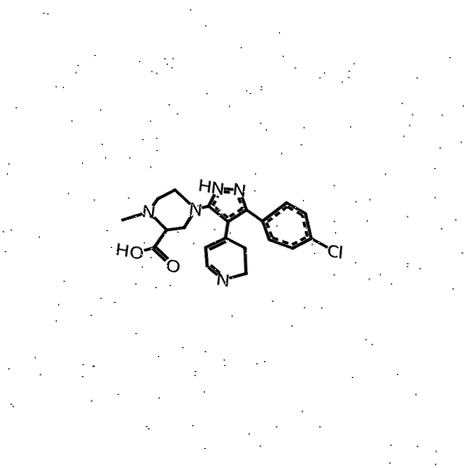 CN1CCN(c2[nH]nc(-c3ccc(Cl)cc3)c2C2=CC=NCC2)CC1C(=O)O